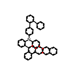 c1ccc(-c2ccccc2-c2ccc(N(c3ccc(-c4ccc5ccccc5c4)cc3)c3ccccc3-c3cc4ccccc4c4ccccc34)cc2)cc1